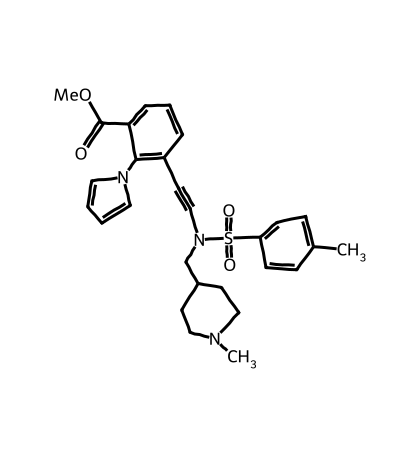 COC(=O)c1cccc(C#CN(CC2CCN(C)CC2)S(=O)(=O)c2ccc(C)cc2)c1-n1cccc1